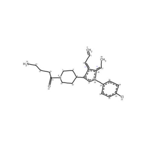 C=C/C=c1/c(C2CCN(C(=O)CCCN)CC2)cn(-c2ccc(Cl)cc2)/c1=C/C